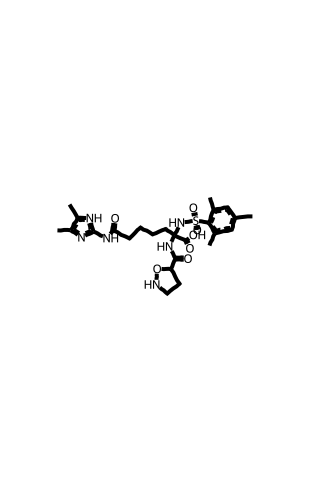 Cc1cc(C)c(S(=O)(=O)NC(CCCCC(=O)Nc2nc(C)c(C)[nH]2)(NC(=O)C2CCNO2)C(=O)O)c(C)c1